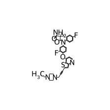 CCN1CCN(CC#Cc2cc3nccc(Oc4ccc(N(C(=O)C5(C(N)=O)CC5)c5ccc(F)cc5)cc4F)c3s2)CC1